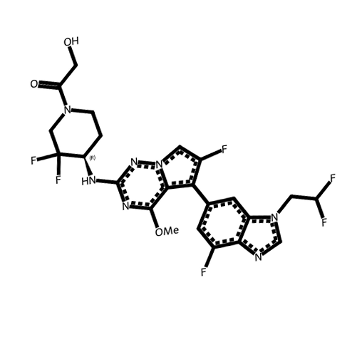 COc1nc(N[C@@H]2CCN(C(=O)CO)CC2(F)F)nn2cc(F)c(-c3cc(F)c4ncn(CC(F)F)c4c3)c12